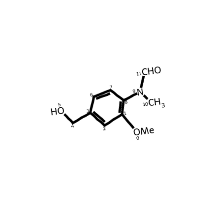 COc1cc(CO)ccc1N(C)C=O